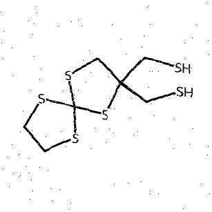 SCC1(CS)CSC2(SCCS2)S1